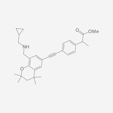 COC(=O)C(C)c1ccc(C#Cc2cc(CNCC3CC3)c3c(c2)C(C)(C)CC(C)(C)O3)cc1